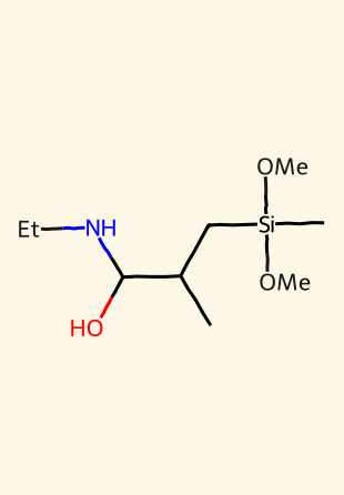 CCNC(O)C(C)C[Si](C)(OC)OC